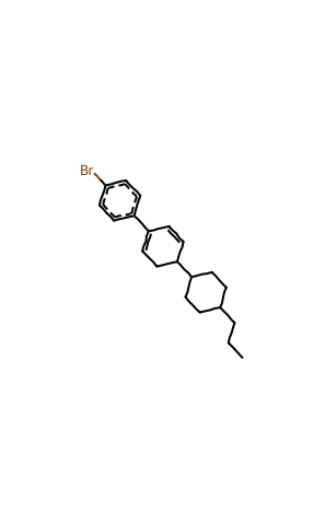 CCCC1CCC(C2C=CC(c3ccc(Br)cc3)=CC2)CC1